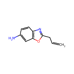 C=CCc1nc2ccc(N)cc2o1